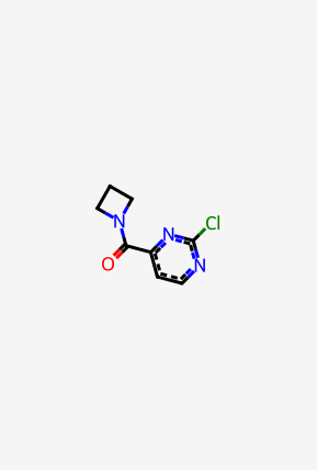 O=C(c1ccnc(Cl)n1)N1CCC1